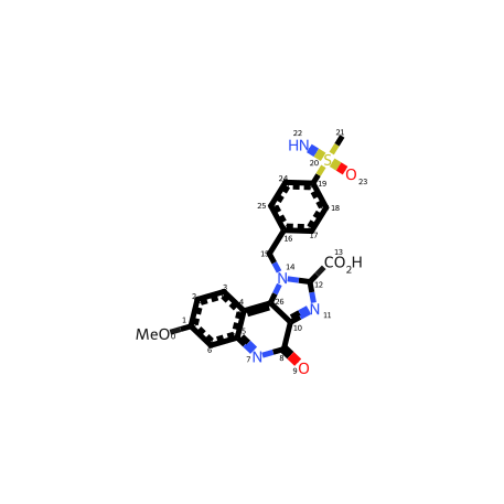 COc1ccc2c(c1)=NC(=O)C1=NC(C(=O)O)N(Cc3ccc(S(C)(=N)=O)cc3)C=21